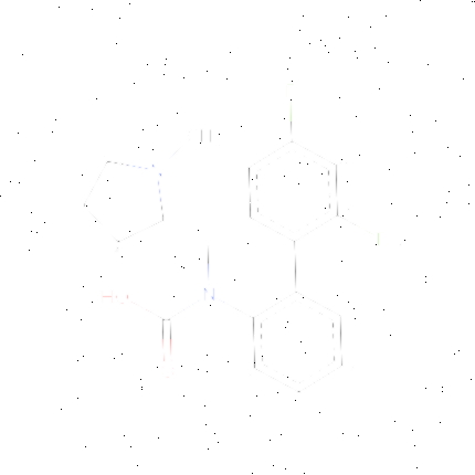 CN1CCC[C@H]1CN(C(=O)O)c1ccccc1-c1ccc(F)cc1F